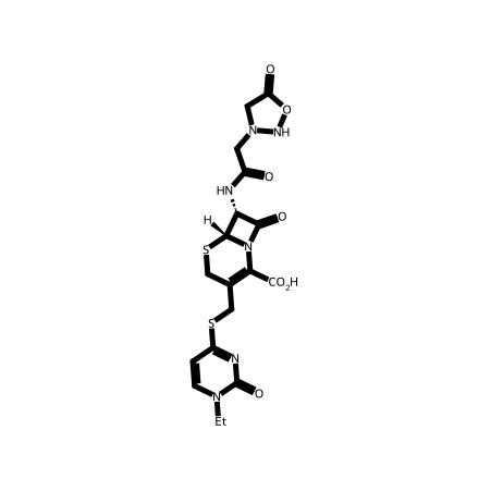 CCn1ccc(SCC2=C(C(=O)O)N3C(=O)[C@@H](NC(=O)CN4CC(=O)ON4)[C@H]3SC2)nc1=O